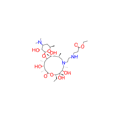 CCOC(=O)CCNCCN1C[C@H](C)C[C@@](C)(O)[C@H](O[C@@H]2O[C@H](C)C[C@H](N(C)C)[C@H]2O)[C@@H](C)[C@H](O)[C@@H](C)C(=O)O[C@H](CC)[C@@](C)(O)[C@H](O)[C@H]1C